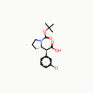 CC(C)(C)OC(=O)N1CCC[C@H]1[C@@H](C(=O)O)c1cccc(Cl)c1